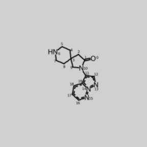 O=C1CC2(CCNCC2)CN1c1cnn2ncccc12